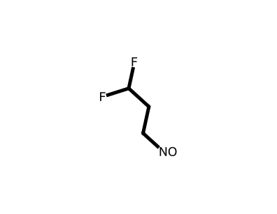 O=NCCC(F)F